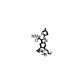 CNC(=O)c1c2cc(C3CC3)c(N(CCF)S(C)(=O)=O)cc2nn1-c1ccc(C)cn1